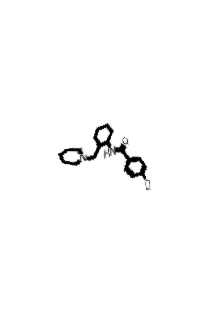 O=C(NC1CCCCC1CN1CCCCC1)c1ccc(Cl)cc1